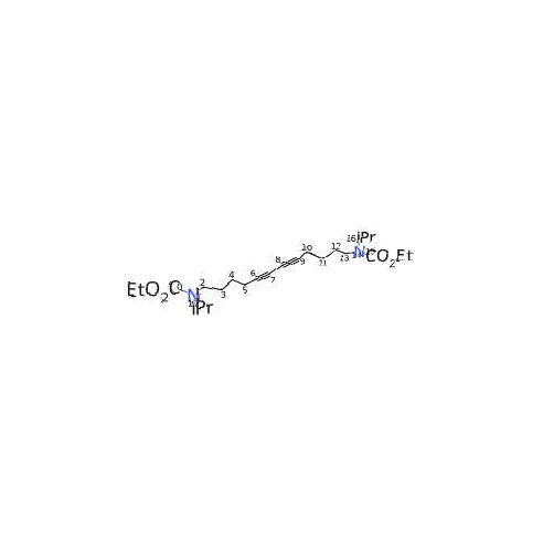 CCOC(=O)N(CCCCC#CC#CCCCCN(C(=O)OCC)C(C)C)C(C)C